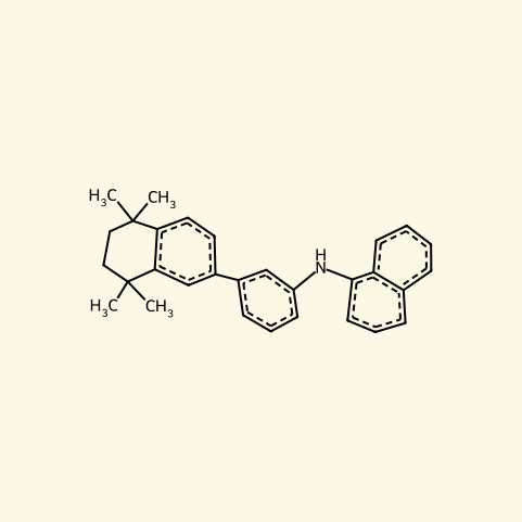 CC1(C)CCC(C)(C)c2cc(-c3cccc(Nc4cccc5ccccc45)c3)ccc21